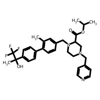 Cc1cc(CN2CCN(Cc3ccncc3)CC2C(=O)OC(C)C)ccc1-c1ccc(C(C)(O)C(F)(F)F)cc1